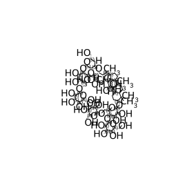 C[C@H](CC[C@@H](O[C@@H]1O[C@H](CO[C@@H]2O[C@H](CO)[C@@H](O)[C@H](O)[C@H]2O)[C@@H](O)[C@H](O)[C@H]1O[C@H]1C[C@@H](O)C[C@@H](CO)O1)C(C)(C)O)[C@H]1CC[C@@]2(C)[C@@H]3CC=C4[C@@H](CC[C@H](O[C@@H]5O[C@H](CO[C@@H]6O[C@H](CO)[C@@H](O)[C@H](O)[C@H]6O)[C@@H](O[C@H]6O[C@H](CO)[C@@H](O)[C@H](O)[C@H]6O)[C@H](O)[C@H]5O)C4(C)C)[C@]3(C)[C@H](O)C[C@]12C